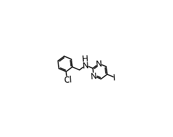 Clc1ccccc1CNc1ncc(I)cn1